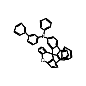 c1ccc(-c2cccc(N(c3ccccc3)c3ccc4c(c3)C3(c5ccccc5Oc5cccc(-c6ccccc6)c53)c3ccccc3-4)c2)cc1